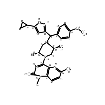 CC[C@H]1CN(C(c2ccc(OC(F)(F)F)cc2)c2cc(C3CC3)on2)[C@@H](CC)CN1c1nc(=O)n(C)c2ccc(C#N)nc12